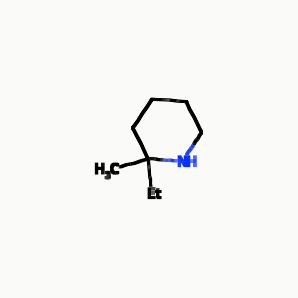 CCC1(C)CCCCN1